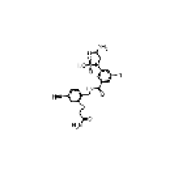 CS(=O)(=O)N(CC(N)=O)c1cc(Cl)cc(C(=O)NCc2ccc(C#N)cc2OCC(N)=O)c1